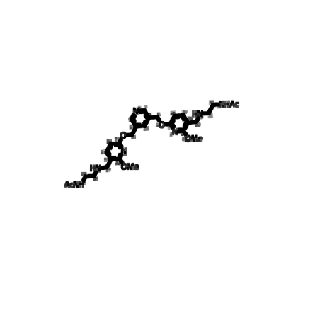 COc1nc(OCc2cncc(COc3ccc(CNCCNC(C)=O)c(OC)n3)c2)ccc1CNCCNC(C)=O